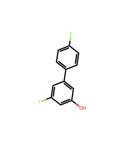 Oc1cc(F)cc(-c2ccc(F)cc2)c1